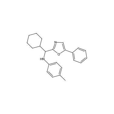 Cc1ccc(NC(c2ncc(-c3ccccc3)o2)C2CCCCC2)cc1